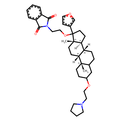 C[C@]12CCC(OCCN3CCCC3)CC1CC[C@@H]1[C@H]2CC[C@@]2(C)[C@H]1CCC2(OCCN1C(=O)c2ccccc2C1=O)c1ccoc1